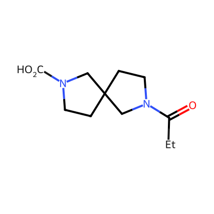 CCC(=O)N1CCC2(CCN(C(=O)O)C2)C1